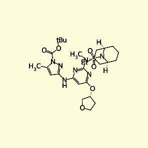 CCS(=O)(=O)N1[C@@H]2CCC[C@H]1C[C@H](N(C)c1nc(Nc3cc(C)n(C(=O)OC(C)(C)C)n3)cc(O[C@@H]3CCOC3)n1)C2